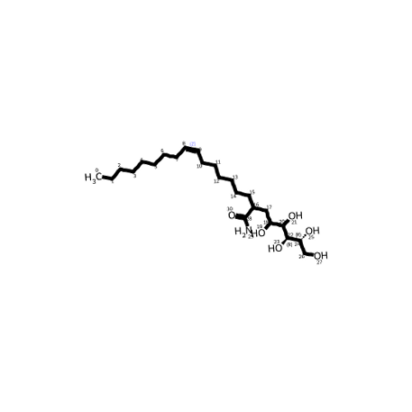 CCCCCCCC/C=C\CCCCCCC(CC(O)C(O)[C@H](O)[C@H](O)CO)C(N)=O